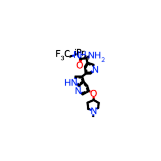 CC(C)[C@](N)(C(=O)NCC(F)(F)F)c1cncc(-c2c[nH]c3ncc(OC4CCN(C)CC4)cc23)c1